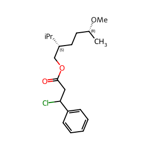 CO[C@H](C)CC[C@H](COC(=O)CC(Cl)c1ccccc1)C(C)C